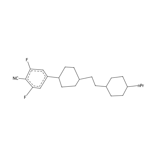 CCCC1CCC(CCC2CCC(c3cc(F)c(C#N)c(F)c3)CC2)CC1